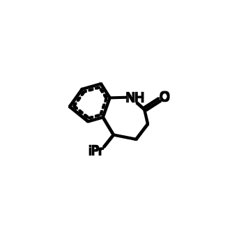 CC(C)C1CCC(=O)Nc2ccccc21